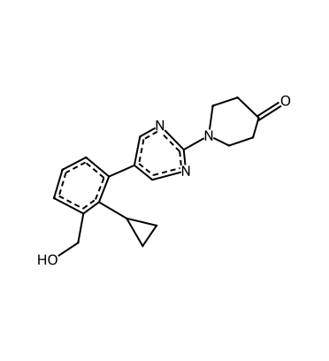 O=C1CCN(c2ncc(-c3cccc(CO)c3C3CC3)cn2)CC1